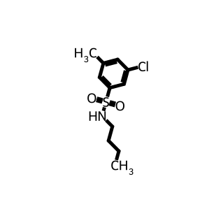 CCCCNS(=O)(=O)c1cc(C)cc(Cl)c1